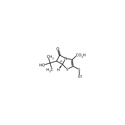 CCSC1=C(C(=O)O)N2C(=O)C(C(C)(C)O)[C@H]2S1